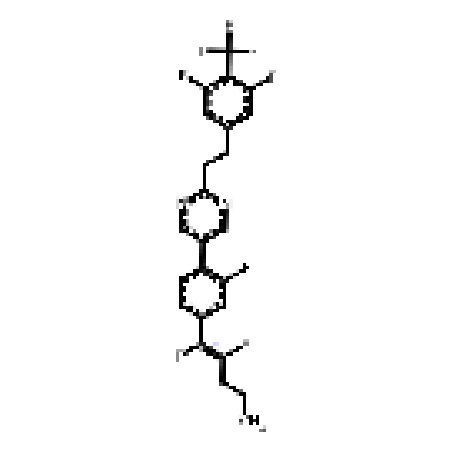 CCC/C(F)=C(\F)c1ccc(-c2cnc(CCc3cc(F)c(C(F)(F)F)c(F)c3)nc2)c(F)c1